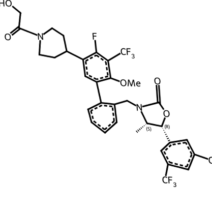 COc1c(-c2ccccc2CN2C(=O)O[C@H](c3cc(C(F)(F)F)cc(C(F)(F)F)c3)[C@@H]2C)cc(C2CCN(C(=O)CO)CC2)c(F)c1C(F)(F)F